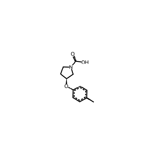 Cc1ccc(O[C@H]2CCN(C(=O)O)C2)cc1